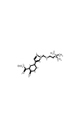 CCOC(=O)C(=O)C1CC(c2cnn(COCC[Si](C)(C)C)c2)CCC1=O